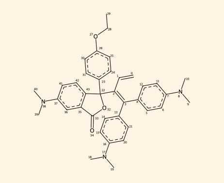 C=CC(=C(c1ccc(N(C)C)cc1)c1ccc(N(C)C)cc1)C1(c2ccc(OCC)cc2)OC(=O)c2cc(N(C)C)ccc21